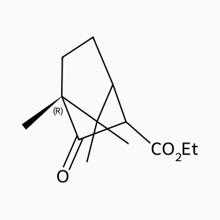 CCOC(=O)C1C(=O)[C@]2(C)CCC1C2(C)C